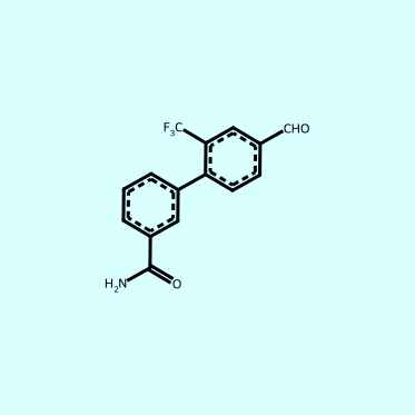 NC(=O)c1cccc(-c2ccc(C=O)cc2C(F)(F)F)c1